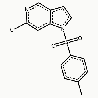 Cc1ccc(S(=O)(=O)n2ccc3cnc(Cl)cc32)cc1